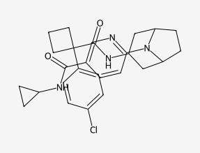 O=C(NC1CC1)c1ccc(N2C3CCC2CC(NC(=O)C2(c4ccc(Cl)cc4)CCC2)C3)nc1